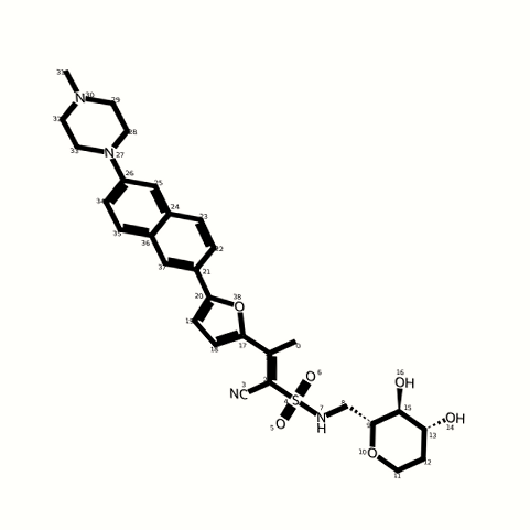 C/C(=C(/C#N)S(=O)(=O)NC[C@H]1OCC[C@@H](O)[C@@H]1O)c1ccc(-c2ccc3cc(N4CCN(C)CC4)ccc3c2)o1